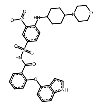 O=C(NS(=O)(=O)c1ccc(NC2CCC(N3CCOCC3)CC2)c([N+](=O)[O-])c1)c1ccccc1Oc1cccc2[nH]ccc12